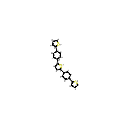 c1csc(-c2ccc(-c3ccc(-c4ccc(-c5cccs5)cc4)s3)cc2)c1